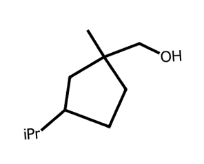 CC(C)C1CCC(C)(CO)C1